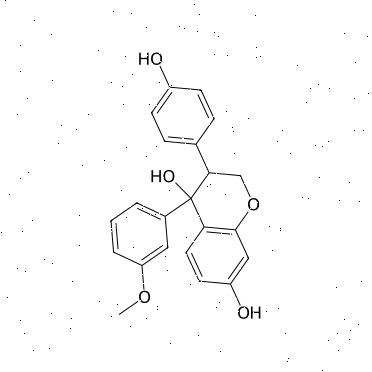 COc1cccc(C2(O)c3ccc(O)cc3OCC2c2ccc(O)cc2)c1